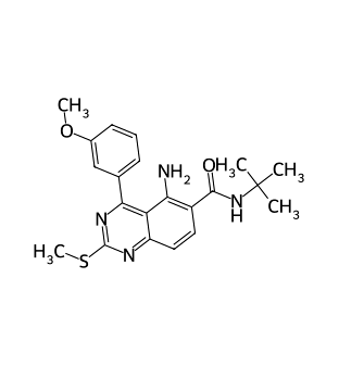 COc1cccc(-c2nc(SC)nc3ccc(C(=O)NC(C)(C)C)c(N)c23)c1